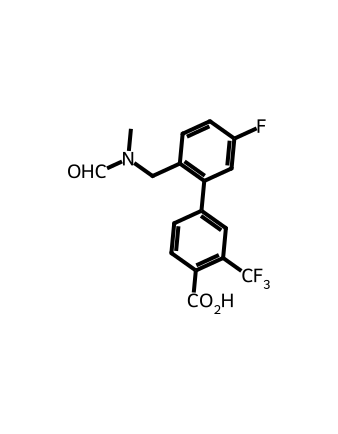 CN(C=O)Cc1ccc(F)cc1-c1ccc(C(=O)O)c(C(F)(F)F)c1